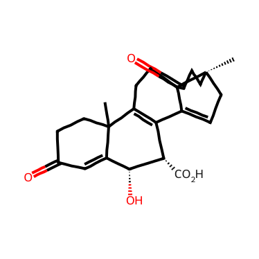 CC12CCC(=O)C=C1[C@@H](O)[C@@H](C(=O)O)C1=C2CCC23C(=O)CC[C@]2(C)CC=C13